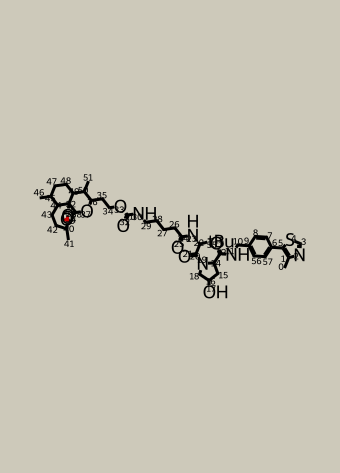 Cc1ncsc1-c1ccc(CNC(=O)C2CC(O)CN2C(=O)C(NC(=O)CCCCNC(=O)OCCC2OC3OC4(C)CCC5C(C)CCC(C2C)C35OO4)C(C)(C)C)cc1